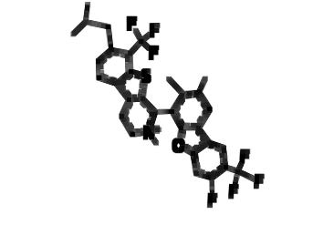 Cc1cc2c(oc3cc(F)c(C(F)(F)F)cc32)c(-c2c3sc4c(C(F)(F)F)c(CC(C)C)ccc4c3cc[n+]2C)c1C